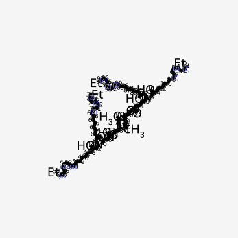 CC/C=C\C/C=C\C/C=C\CCCCCCC(O)CN(CCCCC(=O)OCCN1CC(C)N(CCOC(=O)CCCN(CC(O)CCCCCC/C=C\C/C=C\C/C=C\CC)CC(O)CCCCCC/C=C\C/C=C\C/C=C\CC)CC1C)CC(O)CCCCCC/C=C\C/C=C\C/C=C\CC